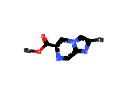 CC(C)(C)OC(=O)c1cn2cc(C#N)nc2cn1